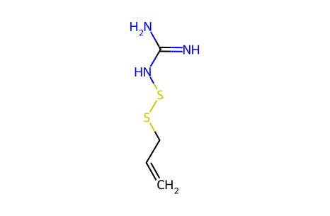 C=CCSSNC(=N)N